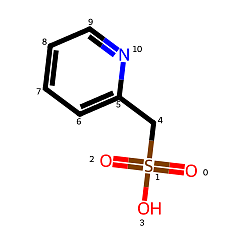 O=S(=O)(O)Cc1ccccn1